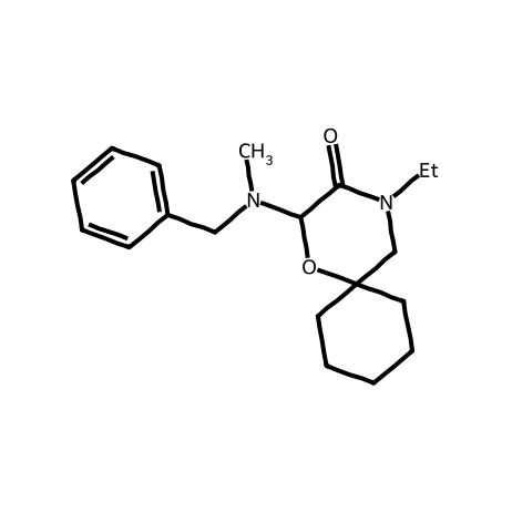 CCN1CC2(CCCCC2)OC(N(C)Cc2ccccc2)C1=O